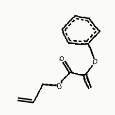 C=CCOC(=O)C(=C)Oc1ccccc1